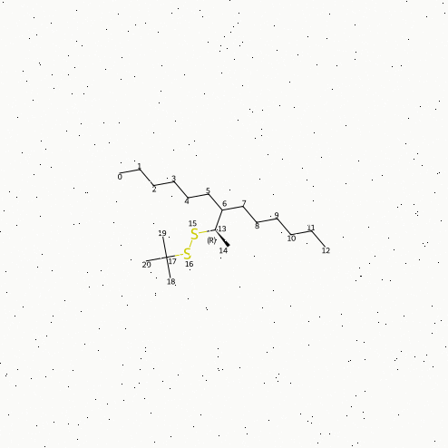 CCCCCCC(CCCCCC)[C@@H](C)SSC(C)(C)C